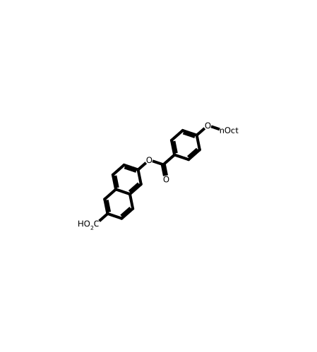 CCCCCCCCOc1ccc(C(=O)Oc2ccc3cc(C(=O)O)ccc3c2)cc1